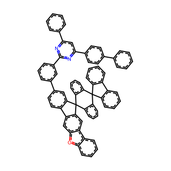 c1ccc(-c2ccc(-c3cc(-c4ccccc4)nc(-c4cccc(-c5ccc6c(c5)C5(c7cc8c(cc7-6)oc6ccccc68)c6ccccc6C6(c7ccccc7-c7ccccc76)c6ccccc65)c4)n3)cc2)cc1